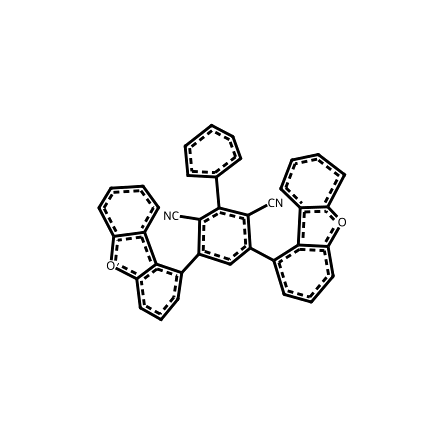 N#Cc1c(-c2cccc3oc4ccccc4c23)cc(-c2cccc3oc4ccccc4c23)c(C#N)c1-c1ccccc1